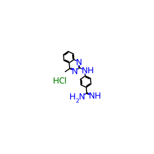 Cc1nc(Nc2ccc(C(=N)N)cc2)nc2ccccc12.Cl